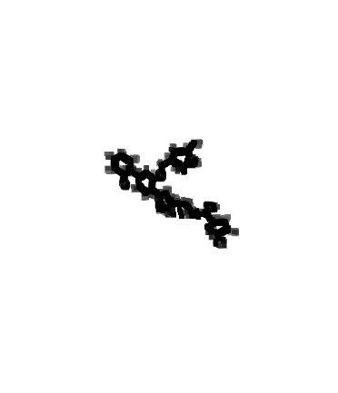 Cc1cc(COc2cc(-n3ccccc3=O)ccc2-n2cc(CNC(=O)c3ccc(Cl)s3)nn2)no1